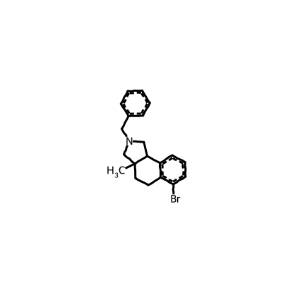 CC12CCc3c(Br)cccc3C1CN(Cc1ccccc1)C2